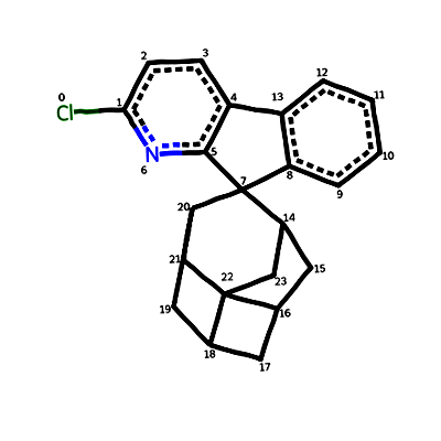 Clc1ccc2c(n1)C1(c3ccccc3-2)C2CC3CC4CC1CC34C2